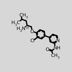 CC(=O)Nc1cc(-c2ccc(OC[C@@H](N)CC(C)C)c(Cl)c2)ccn1